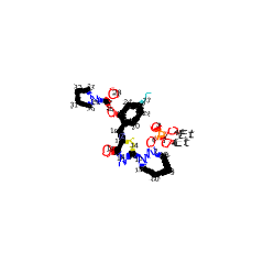 CCOP(=O)(OCC)ON1CCCCN1C1=NC(=O)/C(=C/c2ccc(F)cc2OC(=O)N2CCCC2)S1